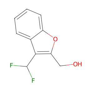 OCc1oc2ccccc2c1C(F)F